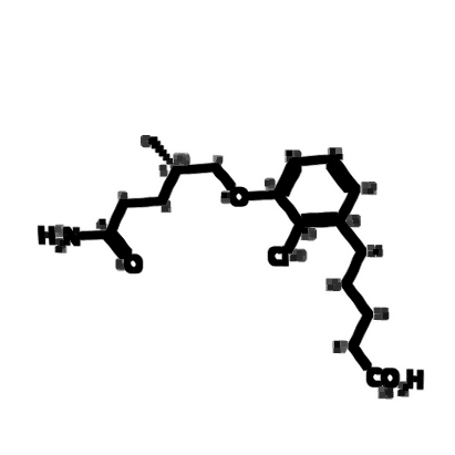 C[C@@H](CCC(N)=O)COc1cccc(CCCCC(=O)O)c1Cl